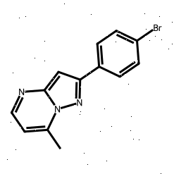 Cc1ccnc2cc(-c3ccc(Br)cc3)nn12